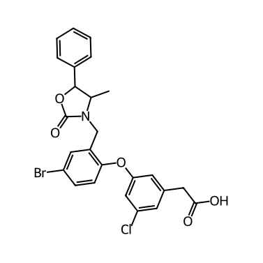 CC1C(c2ccccc2)OC(=O)N1Cc1cc(Br)ccc1Oc1cc(Cl)cc(CC(=O)O)c1